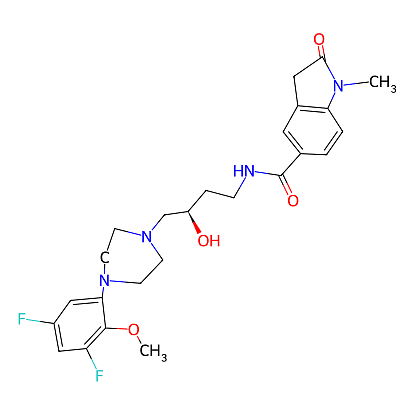 COc1c(F)cc(F)cc1N1CCN(C[C@H](O)CCNC(=O)c2ccc3c(c2)CC(=O)N3C)CC1